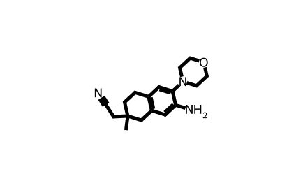 CC1(CC#N)CCc2cc(N3CCOCC3)c(N)cc2C1